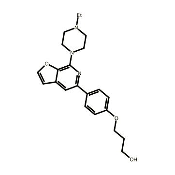 CCN1CCN(c2nc(-c3ccc(OCCCO)cc3)cc3ccoc23)CC1